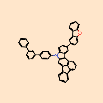 c1ccc(-c2cccc(-c3ccc(-n4c5ccc(-c6ccc7oc8ccccc8c7c6)cc5c5c6cccc7c6c(cc54)-c4ccccc4-7)cc3)c2)cc1